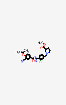 COC(=O)C1CCCN(Cc2ccc(-c3noc(-c4ccc(OC(C)C)c(C#N)c4)n3)c(Cl)c2)C1